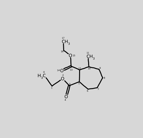 CCOC(=O)C1CCCCC(C)C1C(=O)OCC